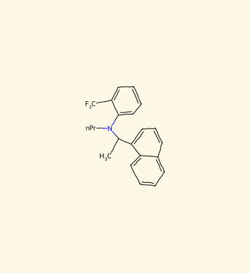 CCCN(c1ccccc1C(F)(F)F)C(C)c1cccc2ccccc12